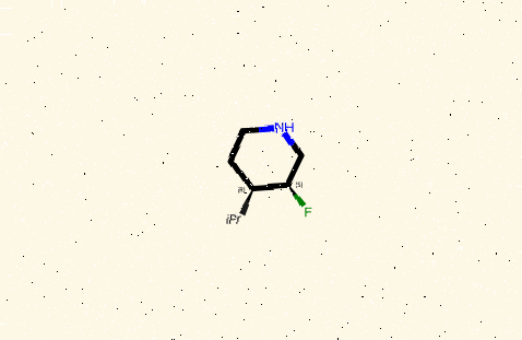 CC(C)[C@H]1CCNC[C@H]1F